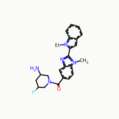 CCn1c(-c2nc3cc(C(=O)N4CC(N)CC(F)C4)ccc3n2C)cc2ccccc21